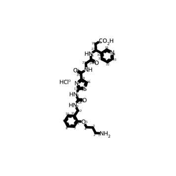 Cl.NCCCOc1ccccc1CNC(=O)Nc1nc(C(=O)NCC(=O)NC(CC(=O)O)c2cccnc2)cs1